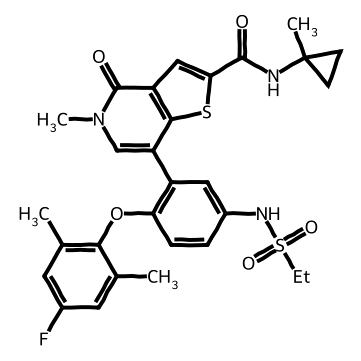 CCS(=O)(=O)Nc1ccc(Oc2c(C)cc(F)cc2C)c(-c2cn(C)c(=O)c3cc(C(=O)NC4(C)CC4)sc23)c1